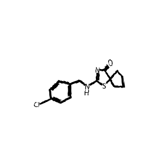 O=C1N=C(NCc2ccc(Cl)cc2)SC12CCCC2